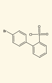 O=S(=O)(Cl)c1ccccc1-c1ccc(Br)cc1